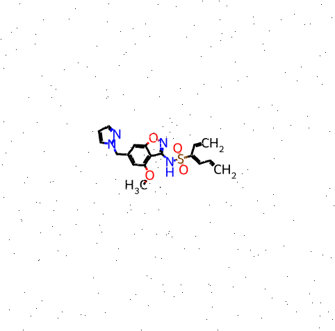 C=C/C=C(\C=C)S(=O)(=O)Nc1noc2cc(Cn3cccn3)cc(OC)c12